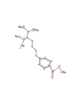 COC(OC)C(CCCCc1ccc(C(=O)OC(C)(C)C)cc1)C(C#N)C#N